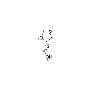 C1CSCO1.OC=S